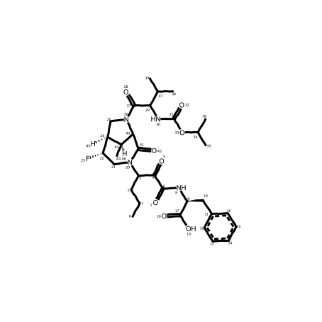 CCCC(C(=O)C(=O)N[C@@H](Cc1ccccc1)C(=O)O)N1C[C@H](F)[C@H]2CN(C(=O)C(NC(=O)OC(C)C)C(C)C)C(C1=O)[C@H]2C